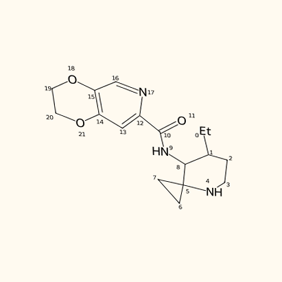 CCC1CCNC2(CC2)C1NC(=O)c1cc2c(cn1)OCCO2